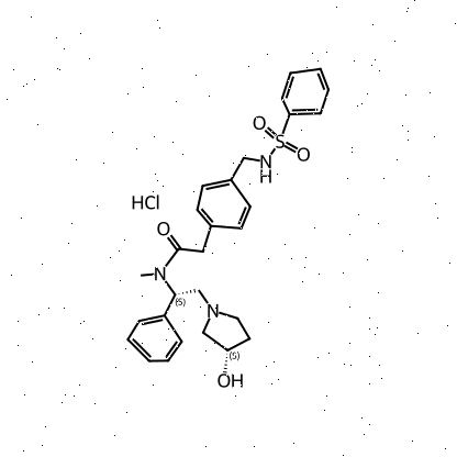 CN(C(=O)Cc1ccc(CNS(=O)(=O)c2ccccc2)cc1)[C@H](CN1CC[C@H](O)C1)c1ccccc1.Cl